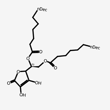 CCCCCCCCCCCCCCCC(=O)OC[C@H](OC(=O)CCCCCCCCCCCCCCC)C1OC(=O)C(O)=C1O